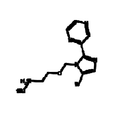 CC(C)(C)[SiH2]CCOCn1c(Br)cnc1-c1cnccn1